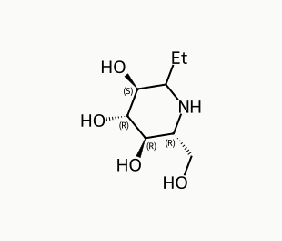 CCC1N[C@H](CO)[C@@H](O)[C@H](O)[C@H]1O